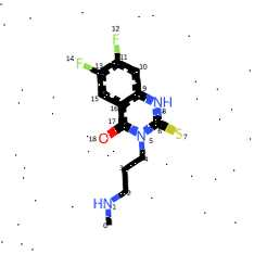 CNCCCn1c(=S)[nH]c2cc(F)c(F)cc2c1=O